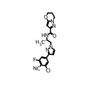 C[C@@H](Cn1ccc(-c2cc(F)c(C#N)c(Cl)c2)n1)NC(=O)c1cc2n(n1)CCCO2